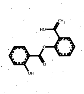 C=C(O)c1ccccc1OC(=O)c1ccccc1O